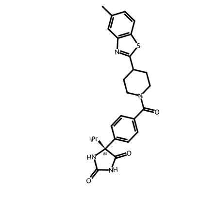 Cc1ccc2sc(C3CCN(C(=O)c4ccc([C@@]5(C(C)C)NC(=O)NC5=O)cc4)CC3)nc2c1